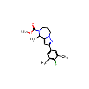 Cc1cc(-c2cc3n(n2)CCCN(C(=O)OC(C)(C)C)C3C)cc(C)c1F